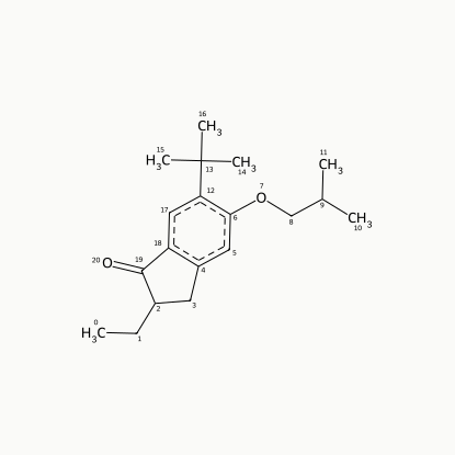 CCC1Cc2cc(OCC(C)C)c(C(C)(C)C)cc2C1=O